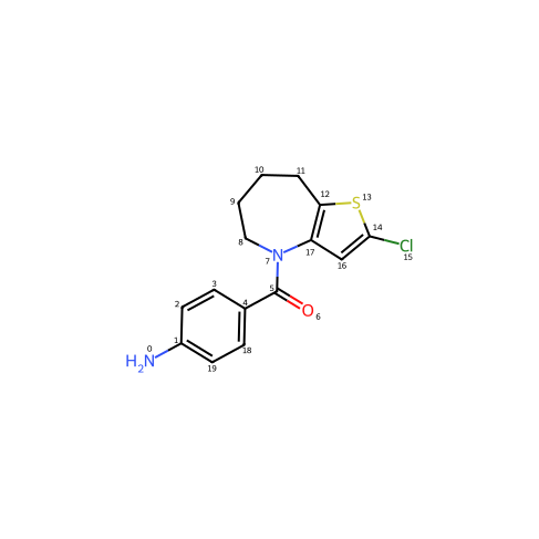 Nc1ccc(C(=O)N2CCCCc3sc(Cl)cc32)cc1